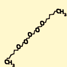 CCCCCCCOCCOCCOCCOCCOCCCCCCC